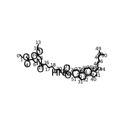 CCOC(=O)CCN(CC(=O)OCC)C(=O)CCCCCNC(=O)O[C@H]1CC[C@@]2(C)C(=CCC3C2CC[C@@]2(C)C3CC[C@@H]2[C@@H](C)CCCC(C)C)C1